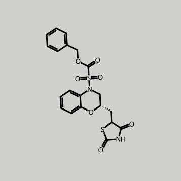 O=C1NC(=O)C(C[C@H]2CN(S(=O)(=O)C(=O)OCc3ccccc3)c3ccccc3O2)S1